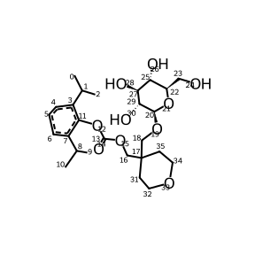 CC(C)c1cccc(C(C)C)c1OC(=O)OCC1(CO[C@@H]2O[C@H](CO)[C@@H](O)[C@H](O)[C@H]2O)CCOCC1